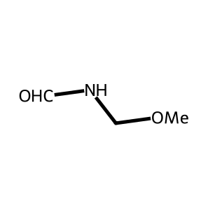 COCNC=O